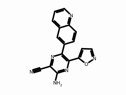 N#Cc1nc(-c2ccc3ncccc3c2)c(-c2ccno2)nc1N